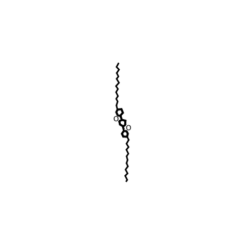 CCCCCCCCCCCCCCc1ccc2c(c1)oc1cc3c(cc12)oc1cc(CCCCCCCCCCCCCC)ccc13